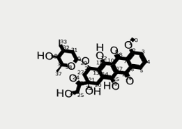 COc1cccc2c1C(=O)c1c(O)c3c(c(O)c1C2=O)C[C@@](O)(C(=O)CO)C[C@@H]3O[C@H]1CC(I)[C@H](O)[C@H](C)O1